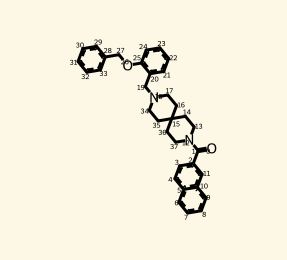 O=C(c1ccc2ccccc2c1)N1CCC2(CCN(Cc3ccccc3OCc3ccccc3)CC2)CC1